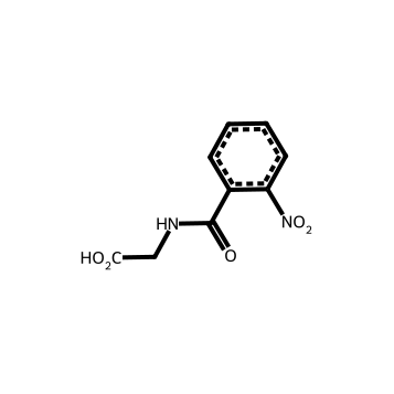 O=C(O)CNC(=O)c1ccccc1[N+](=O)[O-]